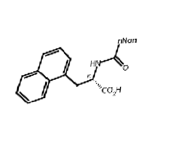 CCCCCCCCCC(=O)N[C@@H](Cc1cccc2ccccc12)C(=O)O